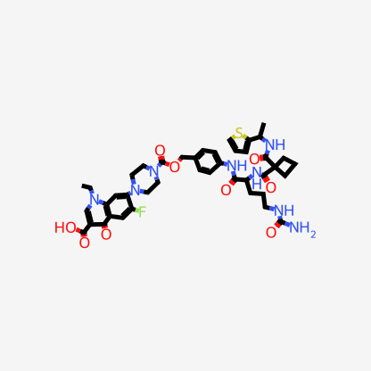 CCn1cc(C(=O)O)c(=O)c2cc(F)c(N3CCN(C(=O)OCc4ccc(NC(=O)C(CCCNC(N)=O)NC(=O)C5(C(=O)NC(C)c6cccs6)CCC5)cc4)CC3)cc21